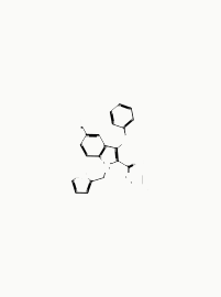 NC(=O)c1c(Sc2ccccc2)c2cc(Cl)ccc2n1Cc1ccco1